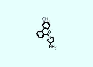 Cc1cccc(-c2ccccc2C(=O)N2CCC(N)C2)c1